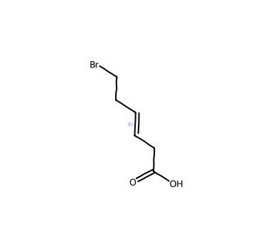 O=C(O)C/C=C/CCBr